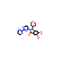 COc1cc2c(cc1OC)C(C1CCOCC1)N(c1ccnc(-c3ncccn3)n1)C2=O